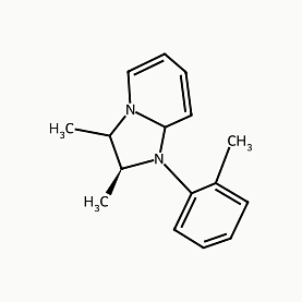 Cc1ccccc1N1C2C=CC=CN2C(C)[C@@H]1C